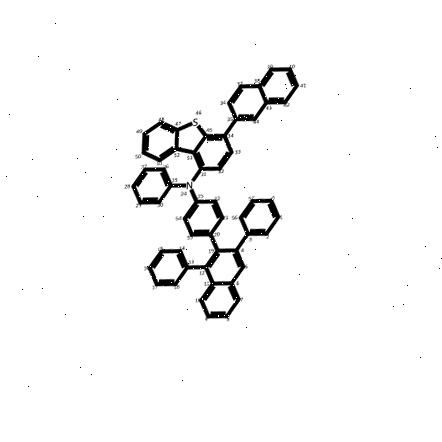 c1ccc(-c2cc3ccccc3c(-c3ccccc3)c2-c2ccc(N(c3ccccc3)c3ccc(-c4ccc5ccccc5c4)c4sc5ccccc5c34)cc2)cc1